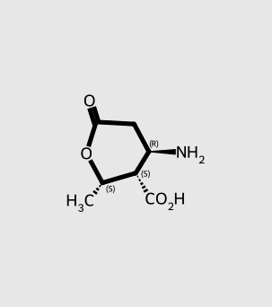 C[C@@H]1OC(=O)C[C@@H](N)[C@@H]1C(=O)O